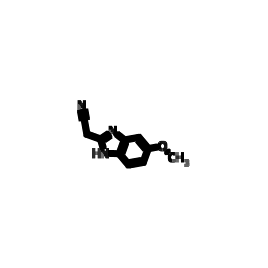 COc1ccc2[nH]c(CC#N)nc2c1